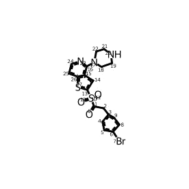 O=C(Cc1ccc(Br)cc1)S(=O)(=O)c1cc2c(N3CCNCC3)nccc2s1